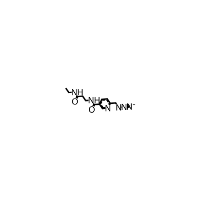 CCNC(=O)CCNC(=O)c1ccc(CN=[N+]=[N-])nc1